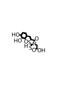 O=C(O)CN1C(=O)C(=Cc2ccc(O)c(O)c2O)SC1=S